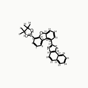 CC1(C)OB(c2cccc3c2oc2cccc(-c4nc5ccc6ccccc6c5s4)c23)OC1(C)C